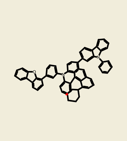 c1ccc(-n2c3ccccc3c3ccc(-c4ccc(N(c5cccc(-c6cccc7c6oc6ccccc67)c5)c5ccccc5-c5cccc6cccc(C7CCCCC7)c56)cc4)cc32)cc1